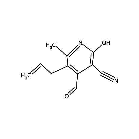 C=CCc1c(C)nc(O)c(C#N)c1C=O